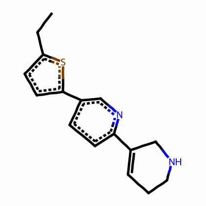 CCc1ccc(-c2ccc(C3=CCCNC3)nc2)s1